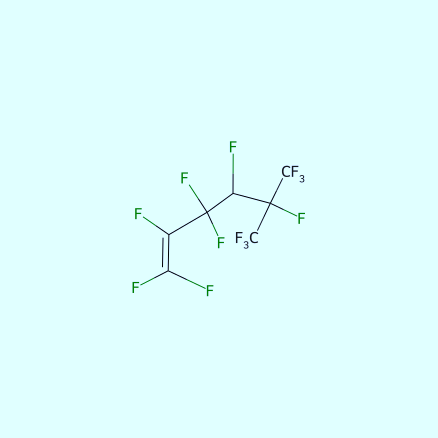 FC(F)=C(F)C(F)(F)C(F)C(F)(C(F)(F)F)C(F)(F)F